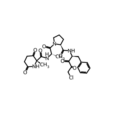 C[C@H](NC(=O)[C@]1(C)NC(=O)CCC1=O)C(=O)N1CCC[C@H]1C(=O)N[C@@H](Cc1ccccc1)C(=O)C(=O)CCl